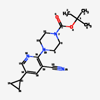 CC(C)(C)OC(=O)N1CCN(c2ncc(C3CC3)cc2C#N)CC1